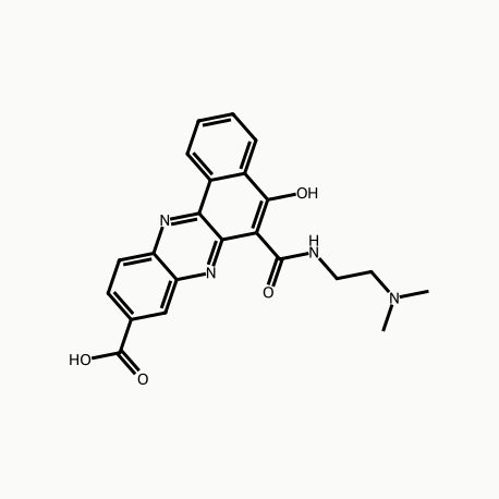 CN(C)CCNC(=O)c1c(O)c2ccccc2c2nc3ccc(C(=O)O)cc3nc12